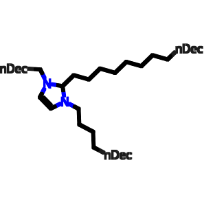 CCCCCCCCCCCCCCCCCCC1N(CCCCCCCCCCC)C=CN1CCCCCCCCCCCCCC